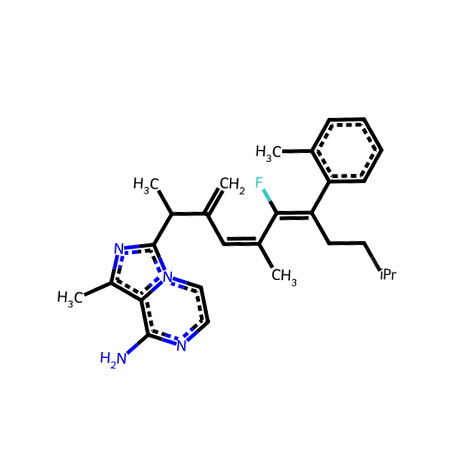 C=C(/C=C(C)\C(F)=C(/CCC(C)C)c1ccccc1C)C(C)c1nc(C)c2c(N)nccn12